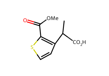 COC(=O)c1sccc1C(C)C(=O)O